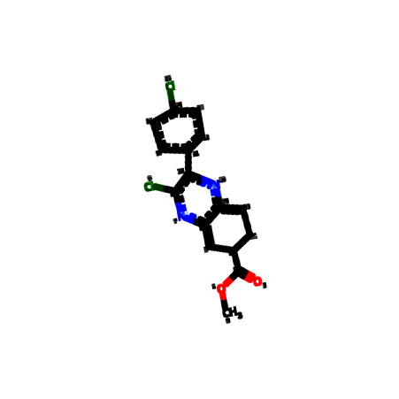 COC(=O)C1C=c2nc(Cl)c(-c3ccc(Cl)cc3)nc2=CC1